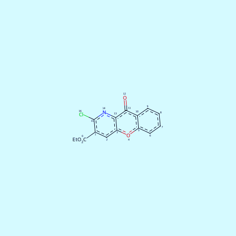 CCOC(=O)c1cc2oc3ccccc3c(=O)c2nc1Cl